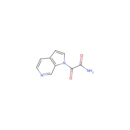 NC(=O)C(=O)n1ccc2ccncc21